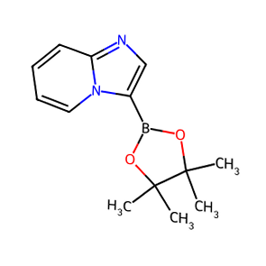 CC1(C)OB(c2cnc3ccccn23)OC1(C)C